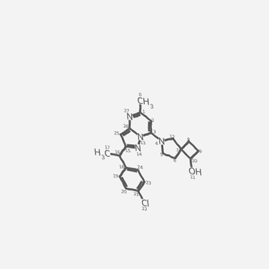 Cc1cc(N2CCC3(CCC3O)C2)n2nc(C(C)c3ccc(Cl)cc3)cc2n1